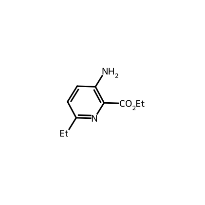 CCOC(=O)c1nc(CC)ccc1N